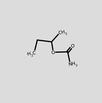 [CH2]CC(C)OC(N)=O